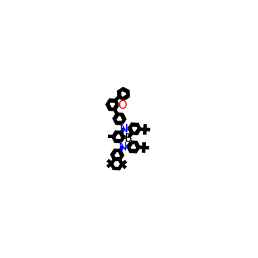 Cc1cc2c3c(c1)N(c1ccc4c(c1)C(C)(C)CCC4(C)C)c1ccc(C(C)(C)C)cc1B3c1cc(C(C)(C)C)ccc1N2c1ccc(-c2cccc3c2oc2ccccc23)cc1